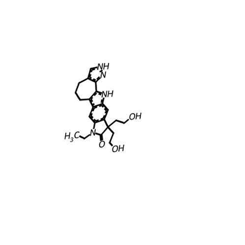 CCN1C(=O)C(CCO)(CCO)c2cc3[nH]c4c(c3cc21)CCCc1c[nH]nc1-4